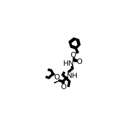 CCC(CC)O[C@H](C)C(=O)C(CC)(CC)NCCNC(=O)OCc1ccccc1